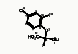 CC(C)(C)[C@](C)(Oc1ccc(Cl)cc1I)C(=O)O